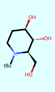 CC(C)(C)N1CC[C@@H](O)[C@H](O)[C@H]1CO